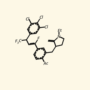 C=C1C(Cc2cc(/C(F)=C/C(c3cc(Cl)c(Cl)c(Cl)c3)C(F)(F)F)ccc2C(C)=O)CCN1CC